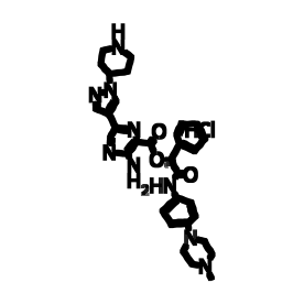 CN1CCN(c2ccc(NC(=O)[C@H](OC(=O)c3nc(-c4cnn(C5CCNCC5)c4)cnc3N)c3ccccc3)cc2)CC1.Cl